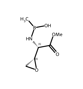 COC(=O)[C@@H](NB(C)O)[C@H]1CO1